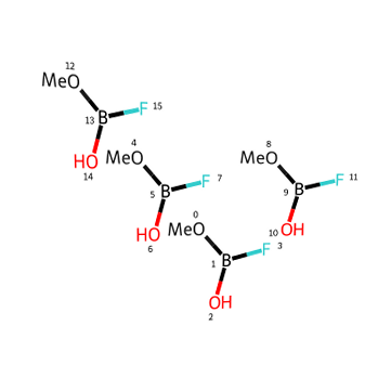 COB(O)F.COB(O)F.COB(O)F.COB(O)F